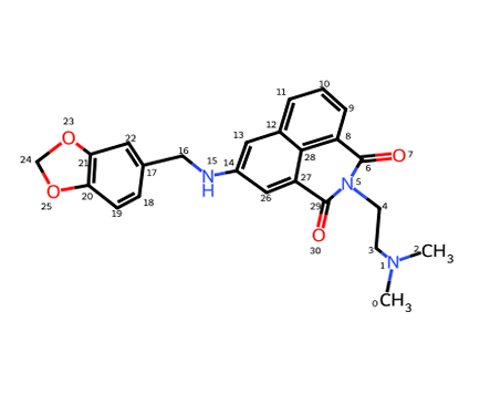 CN(C)CCN1C(=O)c2cccc3cc(NCc4ccc5c(c4)OCO5)cc(c23)C1=O